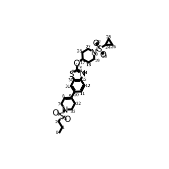 CCCS(=O)(=O)N1CC=C(c2ccc3nc(OC4CCN(S(=O)(=O)C5CC5)CC4)sc3c2)CC1